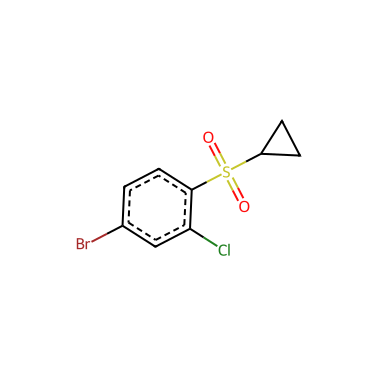 O=S(=O)(c1ccc(Br)cc1Cl)C1CC1